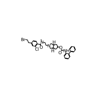 CN(CCN1C[C@H]2C[C@H](OC(=O)Nc3ccccc3-c3ccccc3)C[C@H]2C1)C(=O)c1ccc(CCBr)cc1Cl